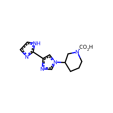 O=C(O)N1CCCC(n2cnc(-c3ncc[nH]3)c2)C1